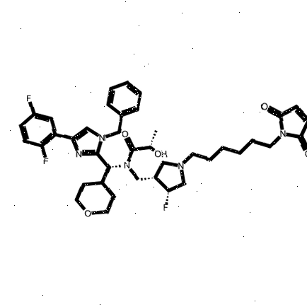 C[C@H](O)C(=O)N(C[C@@H]1CN(CCCCCCN2C(=O)C=CC2=O)C[C@@H]1F)[C@@H](c1nc(-c2cc(F)ccc2F)cn1Cc1ccccc1)C1CCOCC1